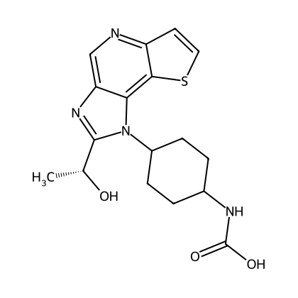 C[C@@H](O)c1nc2cnc3ccsc3c2n1C1CCC(NC(=O)O)CC1